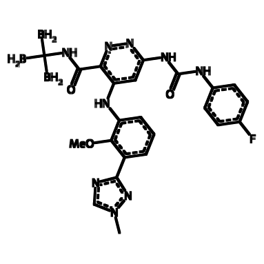 BC(B)(B)NC(=O)c1nnc(NC(=O)Nc2ccc(F)cc2)cc1Nc1cccc(-c2ncn(C)n2)c1OC